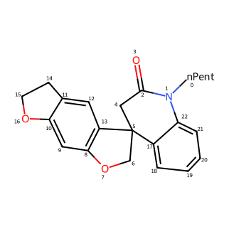 CCCCCN1C(=O)CC2(COc3cc4c(cc32)CCO4)c2ccccc21